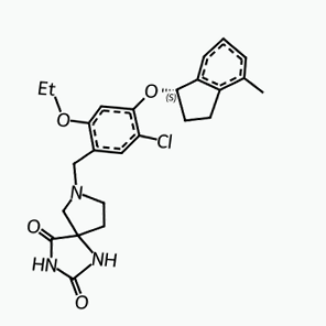 CCOc1cc(O[C@H]2CCc3c(C)cccc32)c(Cl)cc1CN1CCC2(C1)NC(=O)NC2=O